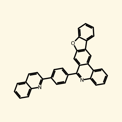 c1ccc2nc(-c3ccc(-c4nc5ccccc5c5cc6c(cc45)oc4ccccc46)cc3)ccc2c1